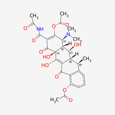 CC(=O)NC(=O)C1=C(OC(C)=O)[C@@H](N(C)C)[C@@H]2[C@@H](O)[C@H]3C(=C(O)[C@]2(O)C1=O)C(=O)c1c(OC(C)=O)cccc1[C@@H]3C